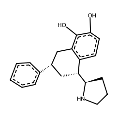 Oc1ccc2c(c1O)C[C@@H](c1ccccc1)C[C@H]2[C@H]1CCCN1